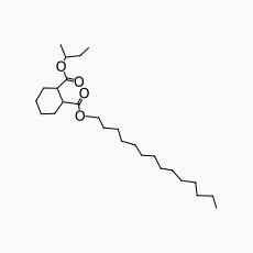 CCCCCCCCCCCCCCOC(=O)C1CCCCC1C(=O)OC(C)CC